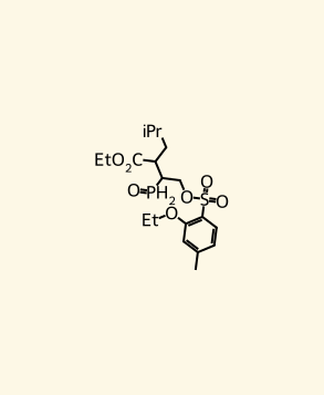 CCOC(=O)C(CC(C)C)C(COS(=O)(=O)c1ccc(C)cc1OCC)[PH2]=O